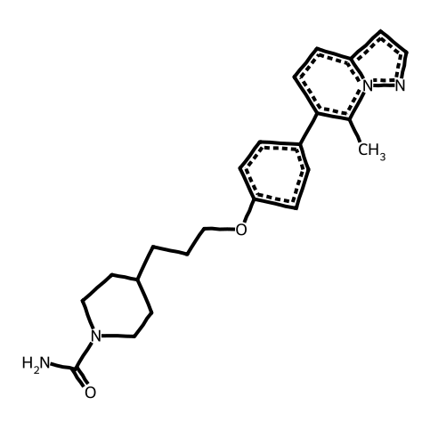 Cc1c(-c2ccc(OCCCC3CCN(C(N)=O)CC3)cc2)ccc2ccnn12